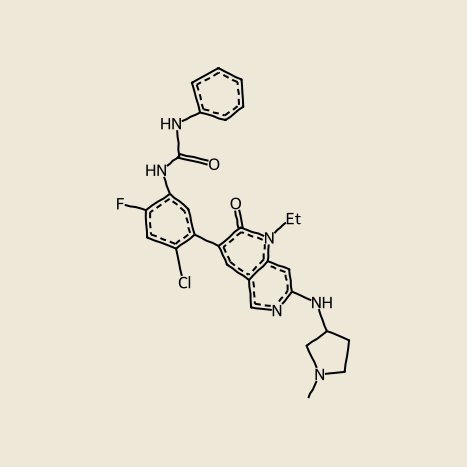 CCn1c(=O)c(-c2cc(NC(=O)Nc3ccccc3)c(F)cc2Cl)cc2cnc(NC3CCN(C)C3)cc21